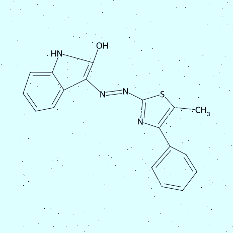 Cc1sc(N=Nc2c(O)[nH]c3ccccc23)nc1-c1ccccc1